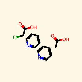 CC(=O)O.O=C(O)CCl.c1ccncc1.c1ccncc1